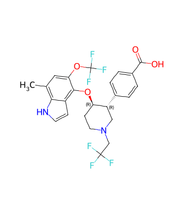 Cc1cc(OC(F)(F)F)c(O[C@@H]2CCN(CC(F)(F)F)C[C@H]2c2ccc(C(=O)O)cc2)c2cc[nH]c12